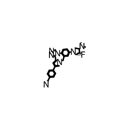 CN(C)C1CN(c2ccc3c(c2)Cn2cc(-c4ccc(C#N)cc4)cc2-c2nncn2-3)C[C@@H]1F